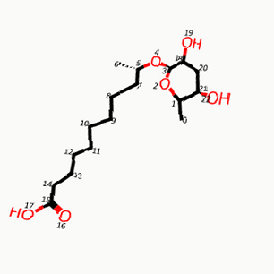 CC1O[C@@H](O[C@@H](C)CCCCCCCCC(=O)O)C(O)C[C@H]1O